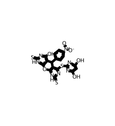 O=[N+]([O-])c1ccc(C2c3c(O)nc(=S)[nH]c3Oc3[nH]c(=S)nc(Sc4nc(O)cc(O)n4)c32)cc1